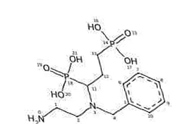 NCCN(Cc1ccccc1)C(CCP(=O)(O)O)P(=O)(O)O